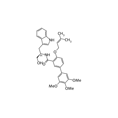 COc1cc(-c2ccc(OCC=C(C)C)c(C(=O)N[C@@H](CO)Cc3c[nH]c4ccccc34)c2)cc(OC)c1OC